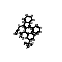 N#CCc1c(C(N)c2cccc(C(F)(F)F)c2)n(-c2ccccc2)c2ccccc12